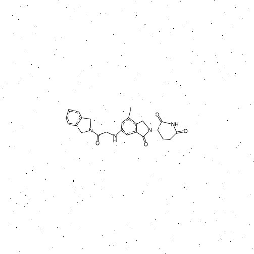 O=C1CCC(N2Cc3c(I)cc(NCC(=O)N4Cc5ccccc5C4)cc3C2=O)C(=O)N1